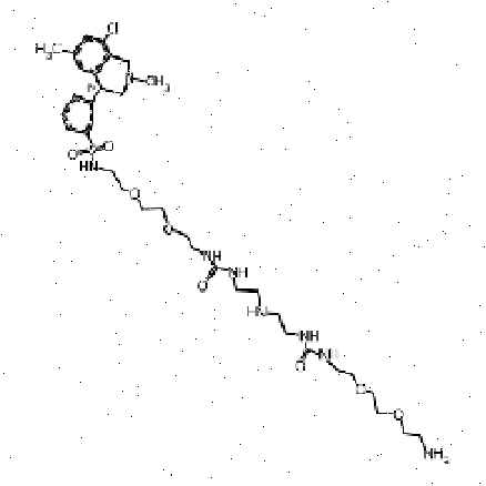 Cc1cc(Cl)c2c(c1)[C@H](c1cccc(S(=O)(=O)NCCOCCOCCNC(=O)NCCNCCNC(=O)NCCOCCOCCN)c1)CN(C)C2